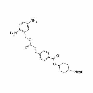 CCCCCCCC1CCC(OC(=O)c2ccc(/C=C/C(=O)OCc3cc(N)ccc3N)cc2)CC1